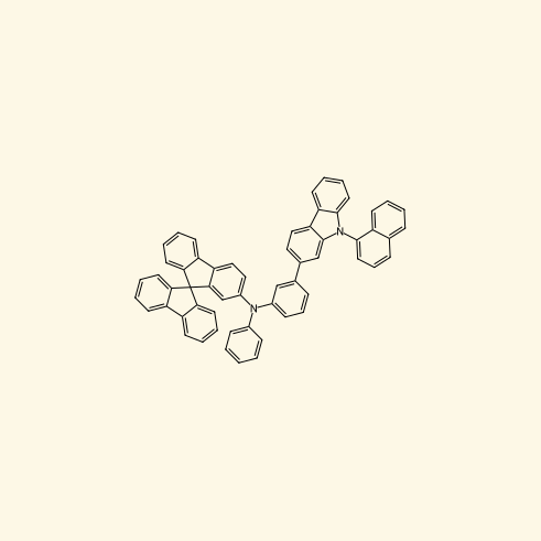 c1ccc(N(c2cccc(-c3ccc4c5ccccc5n(-c5cccc6ccccc56)c4c3)c2)c2ccc3c(c2)C2(c4ccccc4-c4ccccc42)c2ccccc2-3)cc1